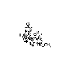 COc1cccc(-c2nnc(NS(=O)(=O)C(C)Cc3ncc(Cl)cn3)n2[C@@H](C)C2COCCO2)n1